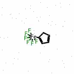 [F][Fe]([F])([F])([F])([F])([F])[C]1=CC=CC1